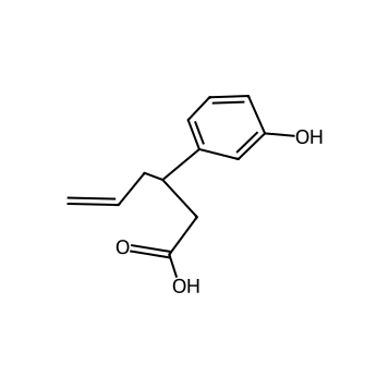 C=CCC(CC(=O)O)c1cccc(O)c1